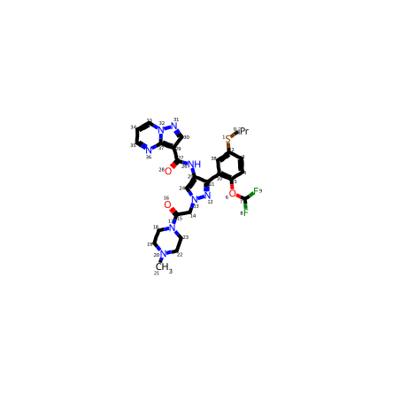 CC(C)Sc1ccc(OC(F)F)c(-c2nn(CC(=O)N3CCN(C)CC3)cc2NC(=O)c2cnn3cccnc23)c1